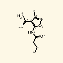 CCCC(=O)Nc1onc(C)c1C(N)=O